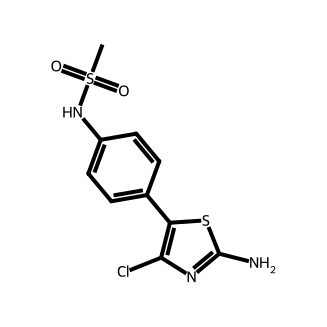 CS(=O)(=O)Nc1ccc(-c2sc(N)nc2Cl)cc1